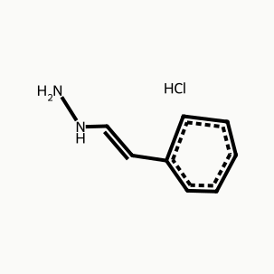 Cl.NNC=Cc1ccccc1